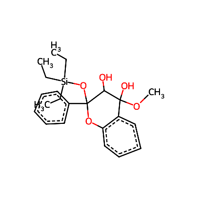 CC[Si](CC)(CC)OC1(c2ccccc2)Oc2ccccc2C(O)(OC)C1O